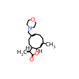 C=C1C(=O)O[C@@H]2C=C(C)CCC=C(CN3CCOCC3)CC[C@H]12